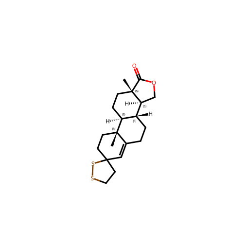 C[C@]12CCC3(C=C1CC[C@@H]1[C@@H]2CC[C@]2(C)C(=O)OC[C@@H]12)CCSS3